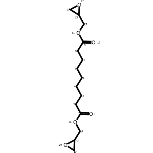 O=C(CCCCCCCC(=O)OCC1CO1)OCC1CO1